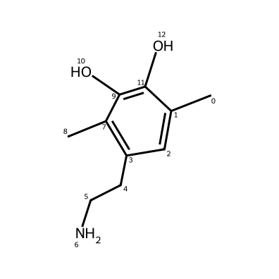 Cc1cc(CCN)c(C)c(O)c1O